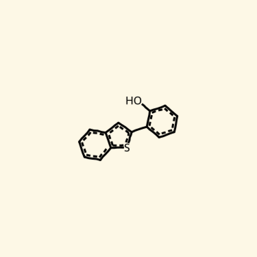 Oc1ccccc1-c1cc2ccccc2s1